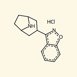 Cl.c1ccc2c(C3CC4CCC(C3)N4)noc2c1